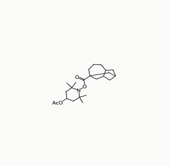 CC(=O)OC1CC(C)(C)N(OC(=O)C23CCCC4CC(CC4C2)C3)C(C)(C)C1